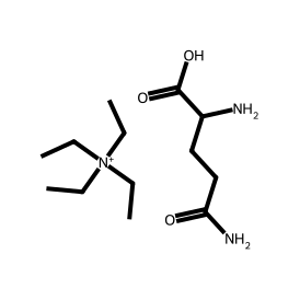 CC[N+](CC)(CC)CC.NC(=O)CCC(N)C(=O)O